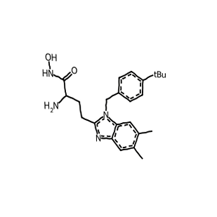 Cc1cc2nc(CCC(N)C(=O)NO)n(Cc3ccc(C(C)(C)C)cc3)c2cc1C